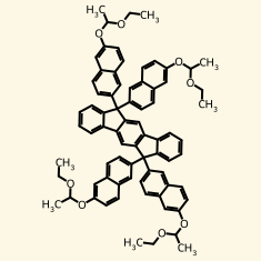 CCOC(C)Oc1ccc2cc(C3(c4ccc5cc(OC(C)OCC)ccc5c4)c4ccccc4-c4cc5c(cc43)-c3ccccc3C5(c3ccc4cc(OC(C)OCC)ccc4c3)c3ccc4cc(OC(C)OCC)ccc4c3)ccc2c1